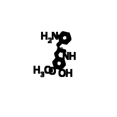 COc1cc2c(cc1O)NC[C@H](Cc1ccccc1N)C2